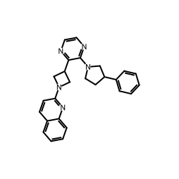 c1ccc(C2CCN(c3nccnc3C3CN(c4ccc5ccccc5n4)C3)C2)cc1